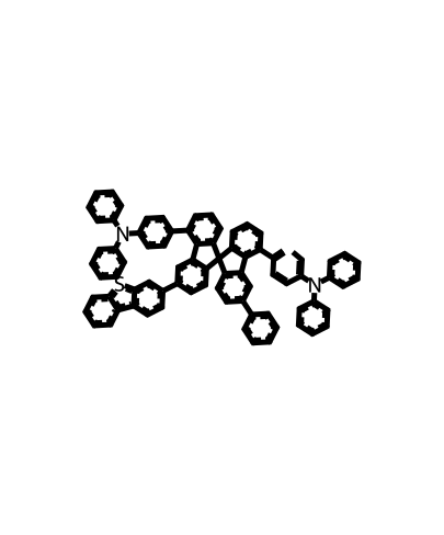 C=C(/C=C\C(=C/C)N(c1ccccc1)c1ccccc1)c1cccc2c1-c1cc(-c3ccccc3)ccc1C21c2ccc(-c3ccc4c(c3)sc3ccccc34)cc2-c2c(-c3ccc(N(c4ccccc4)c4ccccc4)cc3)cccc21